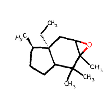 CC[C@]12CC3OC3(C)C(C)(C)C1CC[C@H]2C